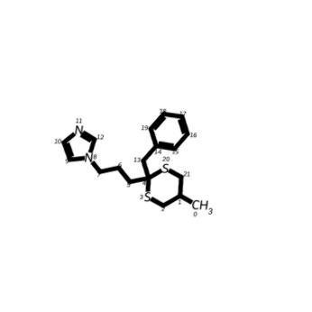 CC1CSC(CCCn2ccnc2)(Cc2ccccc2)SC1